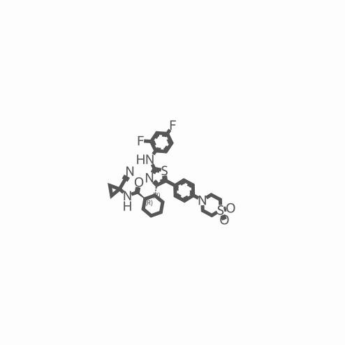 N#CC1(NC(=O)[C@@H]2CCCC[C@H]2c2nc(Nc3ccc(F)cc3F)sc2-c2ccc(N3CCS(=O)(=O)CC3)cc2)CC1